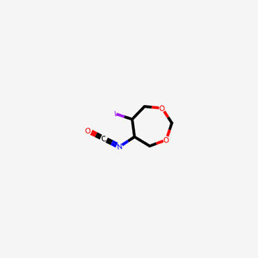 O=C=NC1COCOCC1I